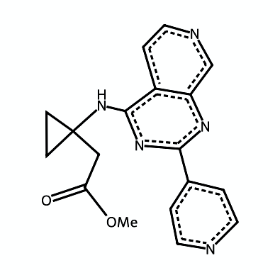 COC(=O)CC1(Nc2nc(-c3ccncc3)nc3cnccc23)CC1